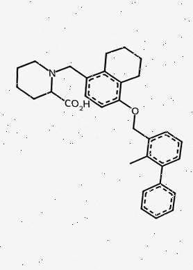 Cc1c(COc2ccc(CN3CCCCC3C(=O)O)c3c2CCCC3)cccc1-c1ccccc1